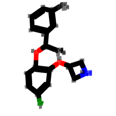 CC(Oc1ccc(Br)cc1OC1CNC1)c1cccc(C(F)(F)F)c1